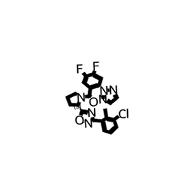 Cc1c(Cl)cccc1-c1noc([C@@H]2CCCN2C(=O)c2cc(F)c(F)cc2-n2nccn2)n1